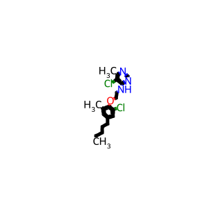 CCCCCc1cc(C)c(OCCNc2ncnc(C)c2Cl)c(Cl)c1